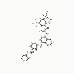 COc1c(NC(=O)Nc2ccc(Oc3ccnc(NCc4ccccn4)n3)c3ccccc23)cc(C(C)(C)C)cc1P(C)(C)=O